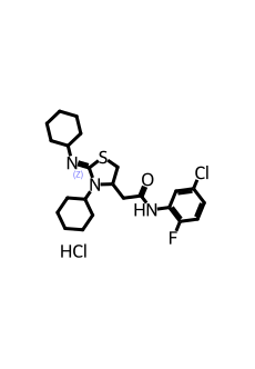 Cl.O=C(CC1CS/C(=N\C2CCCCC2)N1C1CCCCC1)Nc1cc(Cl)ccc1F